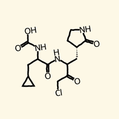 O=C(O)NC(CC1CC1)C(=O)NC(C[C@@H]1CCNC1=O)C(=O)CCl